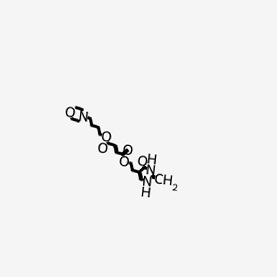 C=C1NC=C(CCOC(=O)/C=C/C(=O)OCCCCN2CCOCC2)C(=O)N1